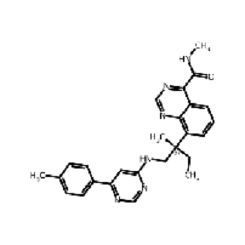 CC[C@](C)(CNc1cc(-c2ccc(C)cc2)ncn1)c1cccc2c(C(=O)NC)ncnc12